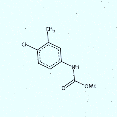 COC(=O)Nc1ccc(Cl)c(C)c1